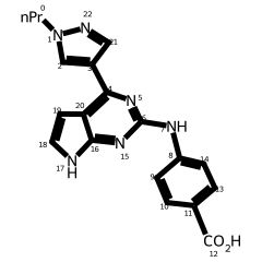 CCCn1cc(-c2nc(Nc3ccc(C(=O)O)cc3)nc3[nH]ccc23)cn1